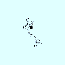 CC(OC(=O)N[C@@H](CCOC1CC(CCc2ccc3c(n2)NCCC3)C1)C(=O)O)c1ccccc1